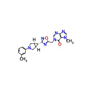 Cc1cccc(N2C[C@@H]3[C@H](C2)[C@H]3c2noc(Cn3cnc4ncn(C)c4c3=O)n2)c1